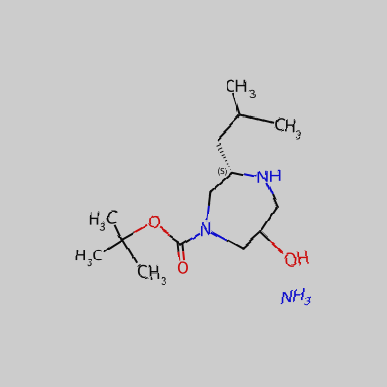 CC(C)C[C@H]1CN(C(=O)OC(C)(C)C)CC(O)CN1.N